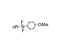 CCC[Si](F)(F)c1ccc(OC)cc1